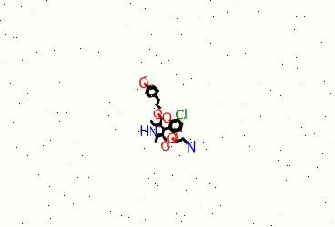 COc1ccc(CCCOC(=O)C2=C(C)NC(C)=C(C(=O)OCCC#N)C2c2cccc(Cl)c2)cc1